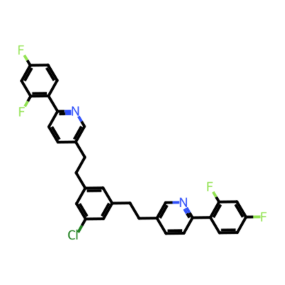 Fc1ccc(-c2ccc(CCc3cc(Cl)cc(CCc4ccc(-c5ccc(F)cc5F)nc4)c3)cn2)c(F)c1